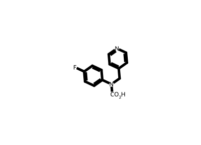 O=C(O)N(Cc1ccncc1)c1ccc(F)cc1